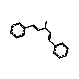 CC(/C=C/c1ccccc1)/C=C/c1ccccc1